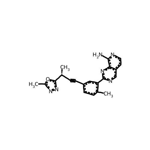 Cc1nnc([C@@H](C)C#Cc2ccc(C)c(-c3ncc4ccnc(N)c4n3)c2)o1